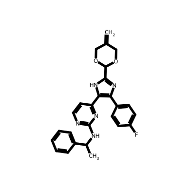 C=C1COC(c2nc(-c3ccc(F)cc3)c(-c3ccnc(NC(C)c4ccccc4)n3)[nH]2)OC1